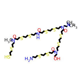 CN(C)CCN(CCCSCCCSCCC(=O)NCCCSCCCSCCC(=O)N(C)CCCSCCCS)C(=O)CCSCCCSCCCN(CCO)C(=O)CCSCCCSCCCN